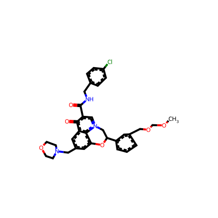 COCOCc1cccc(C2Cn3cc(C(=O)NCc4ccc(Cl)cc4)c(=O)c4cc(CN5CCOCC5)cc(c43)O2)c1